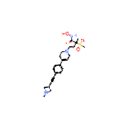 CN1CC(C#Cc2ccc(C3=CCN(CCC(C)(C(=O)NO)S(C)(=O)=O)CC3)cc2)C1